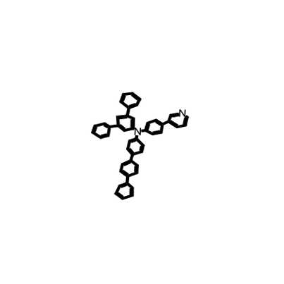 c1ccc(-c2ccc(-c3ccc(N(c4ccc(-c5cccnc5)cc4)c4cc(-c5ccccc5)cc(-c5ccccc5)c4)cc3)cc2)cc1